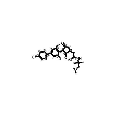 COCC(C)(C)NC(=O)CC1CC(=O)C(c2c(C)cc(-c3ccc(Cl)cn3)cc2C)C1=O